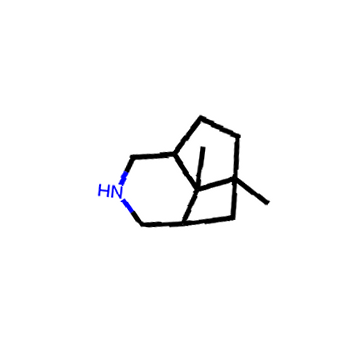 CC12CCC3CNCC(C1)C32C